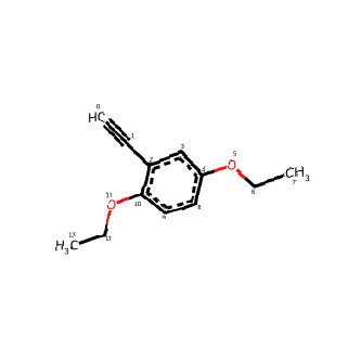 C#Cc1cc(OCC)ccc1OCC